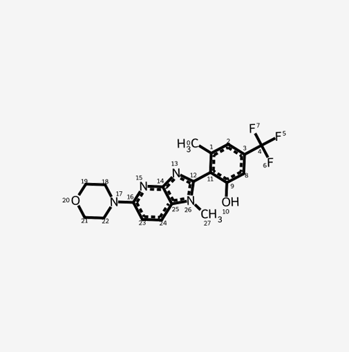 Cc1cc(C(F)(F)F)cc(O)c1-c1nc2nc(N3CCOCC3)ccc2n1C